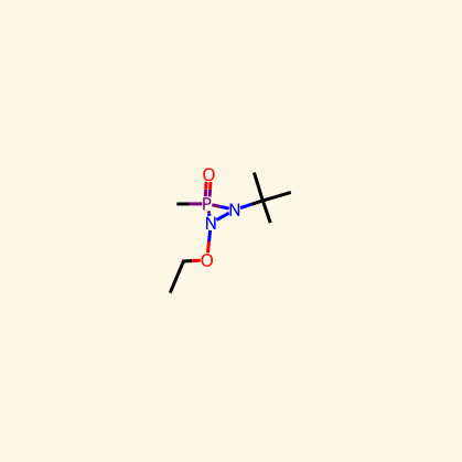 CCON1N(C(C)(C)C)P1(C)=O